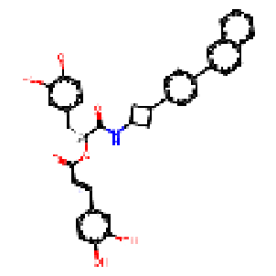 O=C(/C=C/c1ccc(O)c(O)c1)O[C@H](Cc1ccc(O)c(O)c1)C(=O)NC1CC(c2ccc(-c3ccc4ccccc4c3)cc2)C1